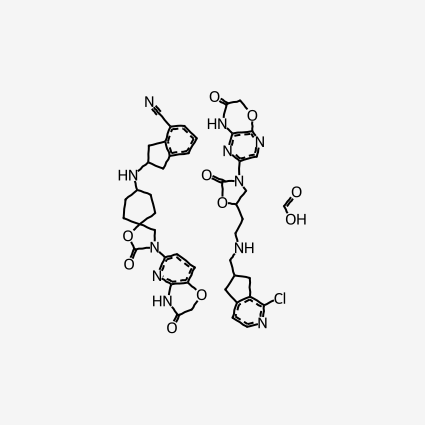 N#Cc1cccc2c1CC(NC1CCC3(CC1)CN(c1ccc4c(n1)NC(=O)CO4)C(=O)O3)C2.O=C1COc2ncc(N3CC(CCNCC4Cc5ccnc(Cl)c5C4)OC3=O)nc2N1.O=CO